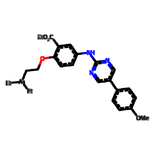 CCOC(=O)c1cc(Nc2ncc(-c3ccc(OC)cc3)cn2)ccc1OCC[As](CC)CC